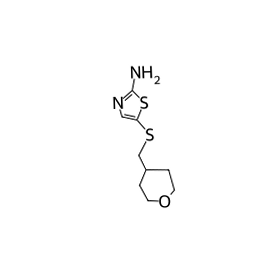 Nc1ncc(SCC2CCOCC2)s1